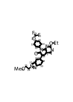 CCOc1ncc2cc(-c3ccc4nn(CCOC)cc4c3)c(=O)n(-c3ccc(OC(F)F)cc3)c2n1